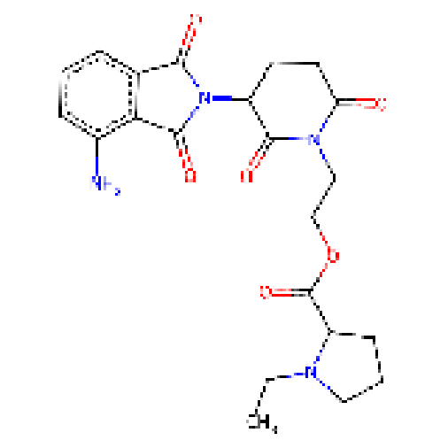 CCN1CCCC1C(=O)OCCN1C(=O)CC[C@H](N2C(=O)c3cccc(N)c3C2=O)C1=O